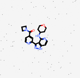 O=C(c1ccnc(-c2n[nH]c3ccnc(NC4CCOCC4)c23)c1)N1CCC1